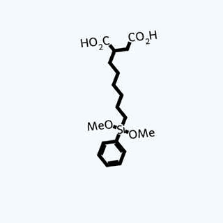 CO[Si](CCCCCCC(CC(=O)O)C(=O)O)(OC)c1ccccc1